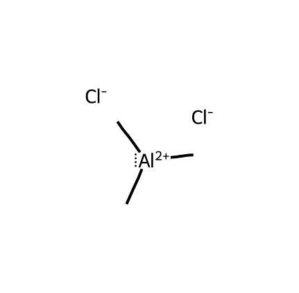 [CH3][Al+2]([CH3])[CH3].[Cl-].[Cl-]